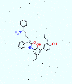 CCCc1cc(NC(=O)[C@@H](CCCC(N)c2ccccc2)c2ccccc2)c(O)c(-c2ccc(O)c(CCC)c2)c1